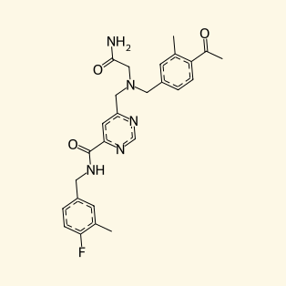 CC(=O)c1ccc(CN(CC(N)=O)Cc2cc(C(=O)NCc3ccc(F)c(C)c3)ncn2)cc1C